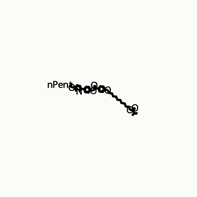 C=C(C)C(=O)OCCCCCCCCCCOc1ccc(C(=O)Oc2ccc(-c3ccc(OCCCCC)cn3)cc2)cc1